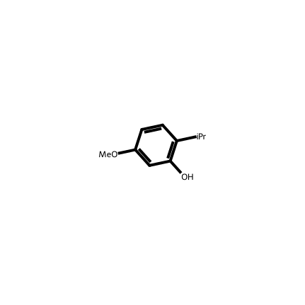 COc1ccc(C(C)C)c(O)c1